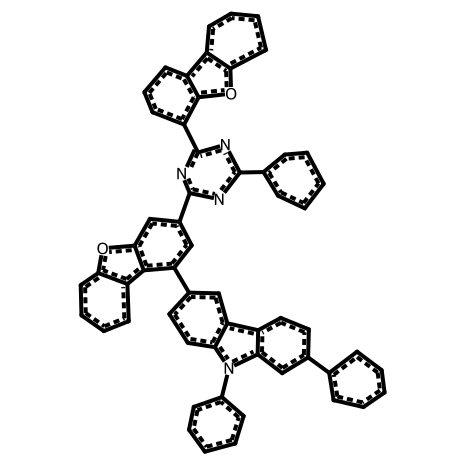 c1ccc(-c2ccc3c4cc(-c5cc(-c6nc(-c7ccccc7)nc(-c7cccc8c7oc7ccccc78)n6)cc6oc7ccccc7c56)ccc4n(-c4ccccc4)c3c2)cc1